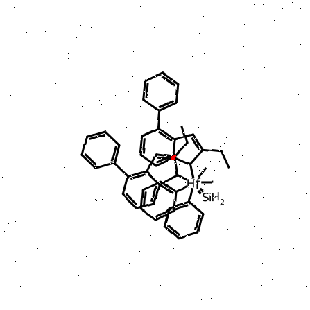 CCC1=Cc2c(-c3ccccc3)cccc2[CH]1[Hf]([CH3])([CH3])(=[SiH2])([c]1ccccc1)([c]1ccccc1)[CH]1C(CC)=Cc2c(-c3ccccc3)cccc21